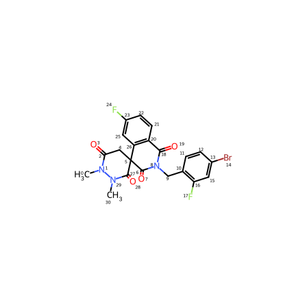 CN1C(=O)CC2(C(=O)N(Cc3ccc(Br)cc3F)C(=O)c3ccc(F)cc32)C(=O)N1C